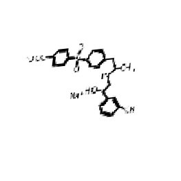 C[C@H](Cc1ccc(S(=O)(=O)c2ccc(C(=O)[O-])cc2)cc1)NC[C@H](O)c1cccc(C#N)c1.[Na+]